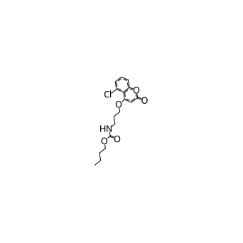 CCCCOC(=O)NCCCOc1cc(=O)oc2cccc(Cl)c12